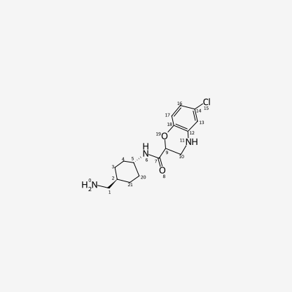 NC[C@H]1CC[C@H](NC(=O)C2CNc3cc(Cl)ccc3O2)CC1